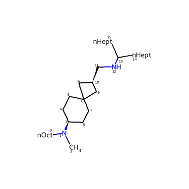 CCCCCCCCN(C)[C@H]1CCC2(CC1)C[C@H](CNC(CCCCCCC)CCCCCCC)C2